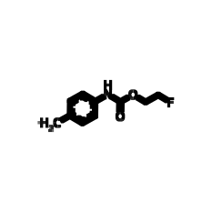 [CH2]c1ccc(NC(=O)OCCF)cc1